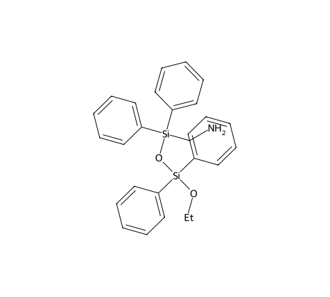 CCO[Si](O[Si](CN)(c1ccccc1)c1ccccc1)(c1ccccc1)c1ccccc1